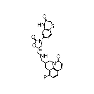 O=C1CSc2ccc(N3C[C@@H](CNCC4Cc5c(F)ccc6ccc(=O)n(c56)C4)OC3=O)cc2N1